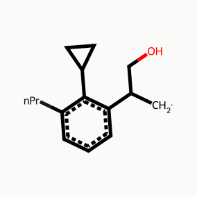 [CH2]C(CO)c1cccc(CCC)c1C1CC1